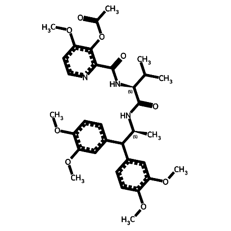 COc1ccc(C(c2ccc(OC)c(OC)c2)[C@H](C)NC(=O)[C@@H](NC(=O)c2nccc(OC)c2OC(C)=O)C(C)C)cc1OC